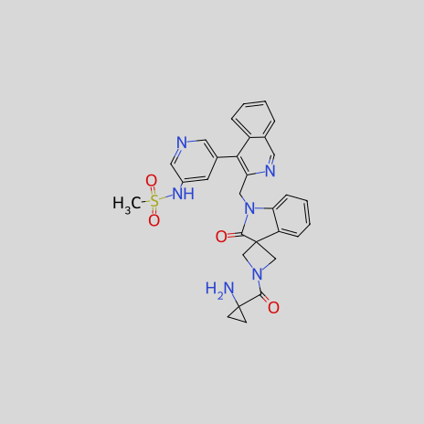 CS(=O)(=O)Nc1cncc(-c2c(CN3C(=O)C4(CN(C(=O)C5(N)CC5)C4)c4ccccc43)ncc3ccccc23)c1